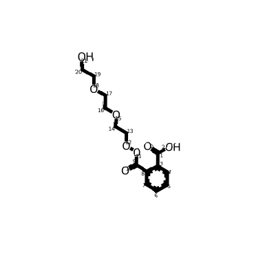 O=C(O)c1ccccc1C(=O)OOCCOCCOCCO